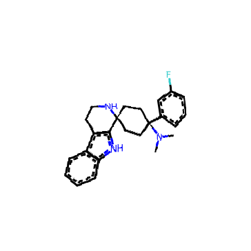 CN(C)[C@]1(c2cccc(F)c2)CC[C@]2(CC1)NCCc1c3ccccc3[nH]c12